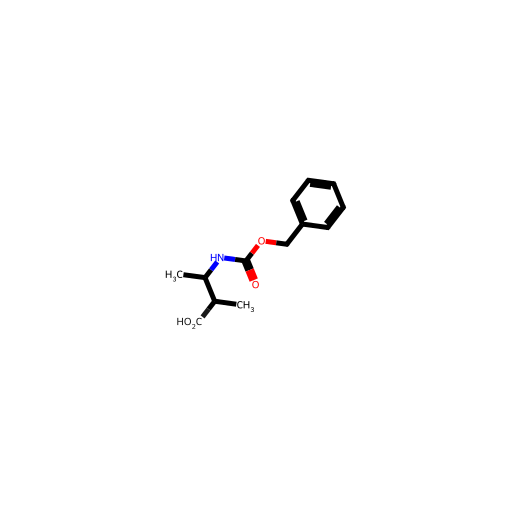 CC(NC(=O)OCc1ccccc1)C(C)C(=O)O